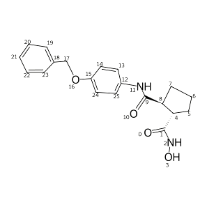 O=C(NO)[C@H]1CCC[C@@H]1C(=O)Nc1ccc(OCc2ccccc2)cc1